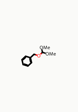 COC(OC)OCc1ccccc1